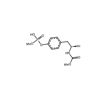 COC(=O)N[C@@H](Cc1ccc(OP(=O)(O)OC)cc1)C(C)=O